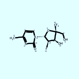 Cc1ccn([C@@H]2O[C@@](CO)(C(F)(F)F)[C@@H](O)[C@H]2F)c(=O)n1